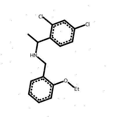 CCOc1ccccc1CNC(C)c1ccc(Cl)cc1Cl